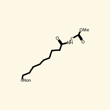 CCCCCCCCCCCCCCCCCC(=O)NCC(=O)OC